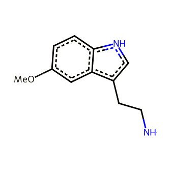 COc1ccc2[nH]cc(CC[NH])c2c1